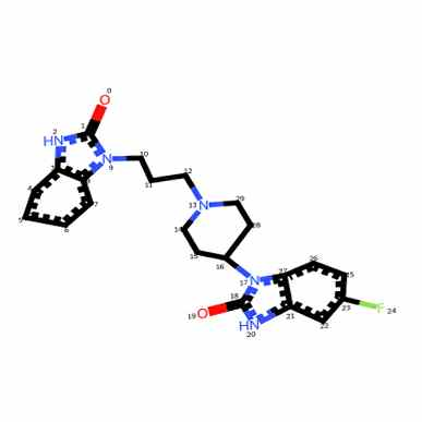 O=c1[nH]c2ccccc2n1CCCN1CCC(n2c(=O)[nH]c3cc(F)ccc32)CC1